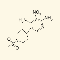 CS(=O)(=O)N1CCC(c2cnc(N)c([N+](=O)[O-])c2N)CC1